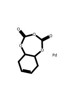 O=C1OC(=O)OC2CC=CCC2O1.[Pd]